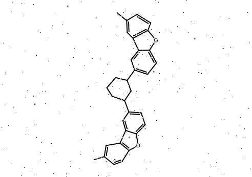 Cc1ccc2oc3ccc(C4CCCC(c5ccc6oc7ccc(C)cc7c6c5)C4)cc3c2c1